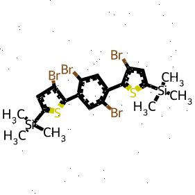 C[Si](C)(C)c1cc(Br)c(-c2cc(Br)c(-c3sc([Si](C)(C)C)cc3Br)cc2Br)s1